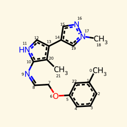 Cc1cccc(OC/C=N\c2[nH]cc(-c3cnn(C)c3)c2C)c1